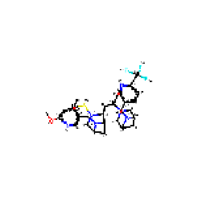 COc1cc(C)c(CN2C3CC2C(CC(C)N2CC4CC(C2)N4Cc2ccc(C(F)(F)F)nc2)N(SC)C3)cn1